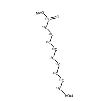 CO[13C](=O)[13CH2][13CH2][13CH2][13CH2][13CH2][13CH2][13CH2][13CH2][13CH2][13CH2][13CH2][13CH2][13CH2][13CH2][13CH2][13CH2][13CH3]